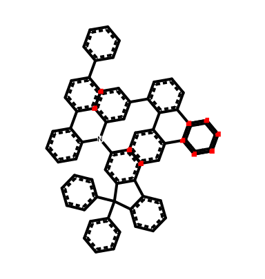 c1ccc(-c2ccc(-c3ccccc3N(c3cccc(-c4cccc(-c5ccccc5)c4-c4ccccc4-c4ccccc4)c3)c3ccc4c(c3)C(c3ccccc3)(c3ccccc3)c3ccccc3-4)cc2)cc1